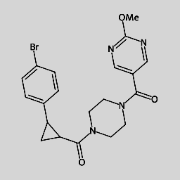 COc1ncc(C(=O)N2CCN(C(=O)C3CC3c3ccc(Br)cc3)CC2)cn1